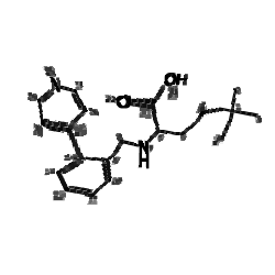 CC(C)(C)CCC(NCc1ccccc1-c1ccncc1)C(=O)O